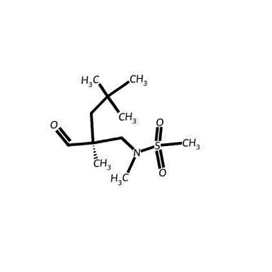 CN(C[C@@](C)(C=O)CC(C)(C)C)S(C)(=O)=O